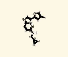 Cc1csc(-c2cnc3ccc(NCC4CC4)nn23)c1